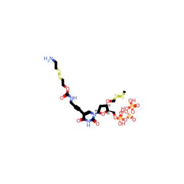 CSSCO[C@H]1C[C@H](n2cc(C#CCNC(=O)OCCSSCCN)c(=O)[nH]c2=O)O[C@@H]1COP(=O)(O)OP(=O)(O)OP(=O)(O)O